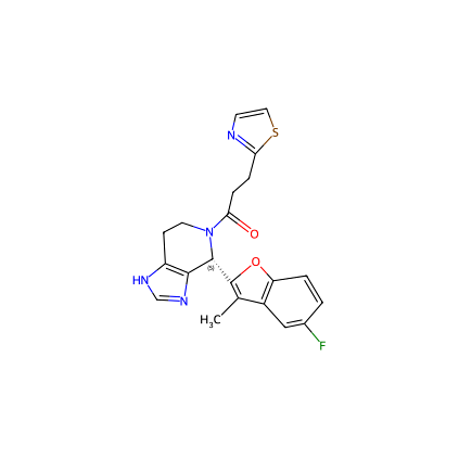 Cc1c([C@@H]2c3nc[nH]c3CCN2C(=O)CCc2nccs2)oc2ccc(F)cc12